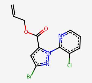 C=CCOC(=O)c1cc(Br)nn1-c1ncccc1Cl